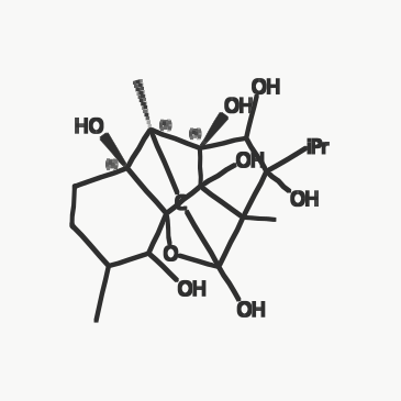 CC1CC[C@@]2(O)C3(OC4(O)C[C@]2(C)[C@]2(O)C(O)C(O)(C(C)C)C4(C)C32O)C1O